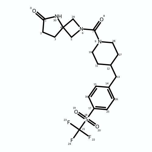 O=C1CCC2(CN(C(=O)N3CCC(Cc4ccc(S(=O)(=O)C(F)(F)F)cc4)CC3)C2)N1